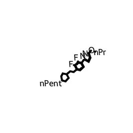 CCCCCC1CCC(CCc2ccc(-c3ccc(OCCC)nn3)c(F)c2F)CC1